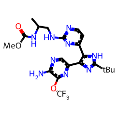 COC(=O)NC(C)CNc1nccc(-c2[nH]c(C(C)(C)C)nc2-c2cnc(N)c(OC(F)(F)F)n2)n1